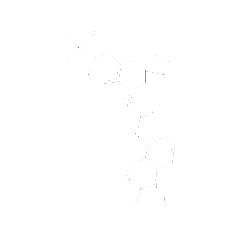 CCN1C(=O)NCc2c(NC(=O)/C=C3\CC4(CCC4)Oc4cc(C(F)(F)F)ccc43)cccc21